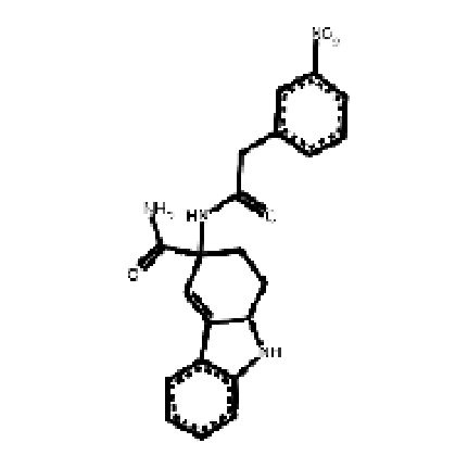 NC(=O)C1(NC(=O)Cc2cccc([N+](=O)[O-])c2)C=C2c3ccccc3NC2CC1